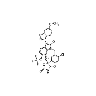 COc1ccc2c(-n3c(=O)n(Cc4cc([C@@]5(C)OC(=O)NC5=O)ccc4Cl)c4cc(OC(F)(F)F)ccc43)noc2c1